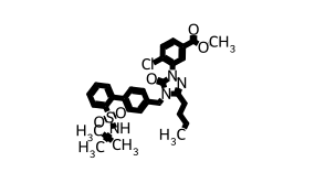 CCCCc1nn(-c2cc(C(=O)OC)ccc2Cl)c(=O)n1Cc1ccc(-c2ccccc2S(=O)(=O)NC(C)(C)C)cc1